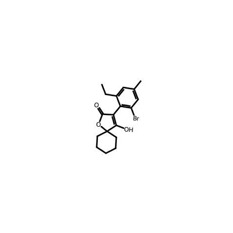 CCc1cc(C)cc(Br)c1C1=C(O)C2(CCCCC2)OC1=O